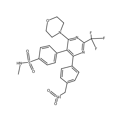 CNS(=O)(=O)c1ccc(-c2c(-c3ccc(C[SH](=O)=O)cc3)nc(C(F)(F)F)nc2N2CCOCC2)cc1